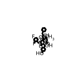 CN1CC(=O)N2[C@@H]([C@H](O)c3ccc(O)cc3)C(=O)N(Cc3ccc(F)cc3F)C[C@@H]2N1C(=O)NCc1ccccc1